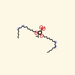 CCCCC/C=C\C/C=C\CCCCCCCCOc1cc(C(=O)OC)cc(OCCCCCCCC/C=C\C/C=C\CCCCC)c1C(C)C